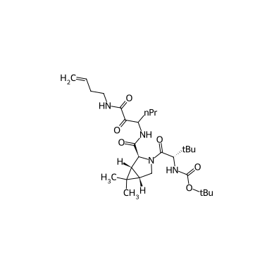 C=CCCNC(=O)C(=O)C(CCC)NC(=O)[C@@H]1[C@@H]2[C@H](CN1C(=O)[C@@H](NC(=O)OC(C)(C)C)C(C)(C)C)C2(C)C